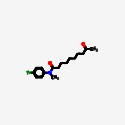 CC(=O)CCCCCCCC(=O)N(C)c1ccc(F)cc1